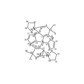 CC1(C)C=C2C(F)([C]([Ti]([C]3=CC=CC3)([C]3=CC=CC3)[C]3=C(F)C(C)(C)C=C4C3(F)[N+]43CCCC3)=C1F)[N+]21CCCC1